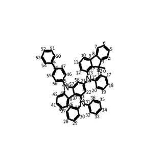 CC1(C)c2ccccc2-c2cccc(N(c3ccccc3)c3cc(N(c4ccccc4)c4ccccc4)c4c5ccccc5n(-c5ccc(-c6ccccc6)cc5)c4c3)c21